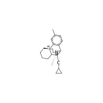 Cc1ccc2c(c1)[C@@]13CCCCC1C(C2)[N@@+](C)(CC1CC1)CC3